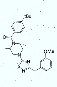 COc1cccc(Cc2nsc(N3CCN(C(=O)c4ccc(C(C)(C)C)cc4)C(C)C3)n2)c1